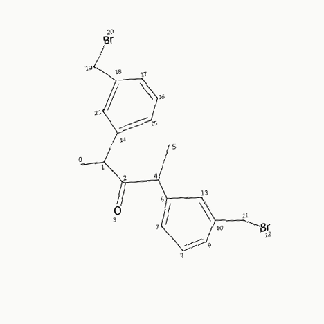 CC(C(=O)C(C)c1cccc(CBr)c1)c1cccc(CBr)c1